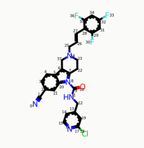 N#Cc1ccc2c3c(n(C(=O)NCc4ccnc(Cl)c4)c2c1)CCN(CC=Cc1c(F)cc(F)cc1F)C3